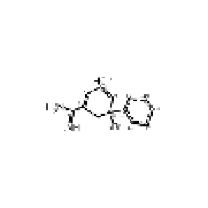 Cl.N=C(N)C1=CC=CC(Br)(c2ccccc2)C1